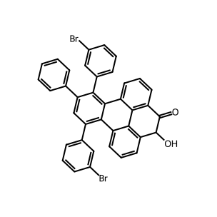 O=C1c2cccc3c2c2c(cccc2c2c(-c4cccc(Br)c4)cc(-c4ccccc4)c(-c4cccc(Br)c4)c32)C1O